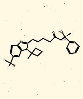 CC1(n2c(CCCCC(=O)C[C@](C)(O)c3ccccc3)nc3ccc(C(F)(F)F)cc32)CCC1